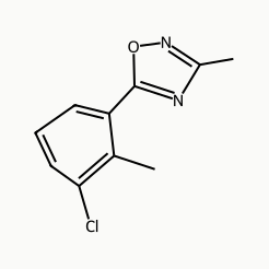 Cc1noc(-c2cccc(Cl)c2C)n1